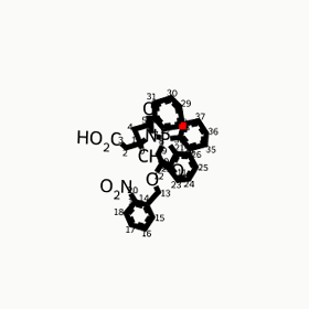 CC1(CC(=O)O)CC(=O)N1P(CC(=O)OCc1ccccc1[N+](=O)[O-])(c1ccccc1)(c1ccccc1)c1ccccc1